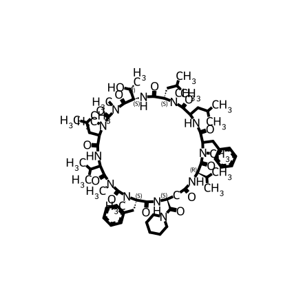 CC(C)CC1NC(=O)C(Cc2ccccc2)N(C)C(=O)[C@@H](C(C)C)NC(=O)C[C@@H](C(=O)N2CCCCC2)NC(=O)[C@H](Cc2ccccc2)N(C)C(=O)N(C)C(=O)C(C(C)C)NC(=O)C(CC(C)C)N(C)C(=O)N(C)C(=O)[C@H]([C@@H](C)O)NC(=O)[C@H](CC(C)C)N(C)C1=O